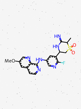 COc1cnc2c(Nc3cnc(F)c(C4CS(=O)(=O)C(C)C(=N)N4)c3)nccc2c1